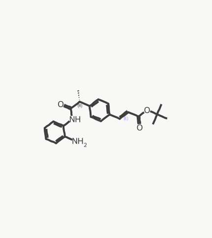 C[C@@H](C(=O)Nc1ccccc1N)c1ccc(/C=C/C(=O)OC(C)(C)C)cc1